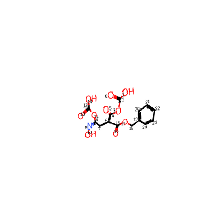 O=C(O)OC(=O)C(C/C(=N\O)OC(=O)O)C(=O)OCc1ccccc1